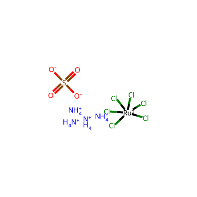 O=S(=O)([O-])[O-].[Cl][Ru-2]([Cl])([Cl])([Cl])([Cl])[Cl].[NH4+].[NH4+].[NH4+].[NH4+]